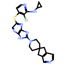 Clc1c(Sc2cnc3[nH]c(N4CCC5(CC4)Cc4ccncc4C5)nc3n2)ccnc1NC1CC1